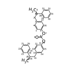 C[C@H](Cc1ccc(OC(=O)Oc2ccc(C[C@@H](C)c3ccccc3)cc2)cc1)c1ccccc1